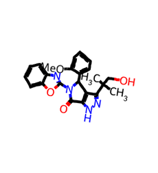 COc1ccccc1C1c2c(C(C)(C)CO)n[nH]c2C(=O)N1c1nc2ccccc2o1